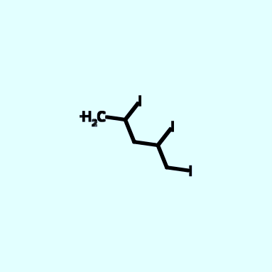 [CH2]C(I)CC(I)CI